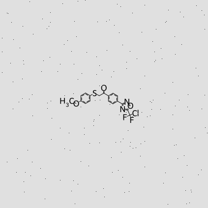 COc1ccc(SCC(=O)c2ccc(-c3noc(C(F)(F)Cl)n3)cc2)cc1